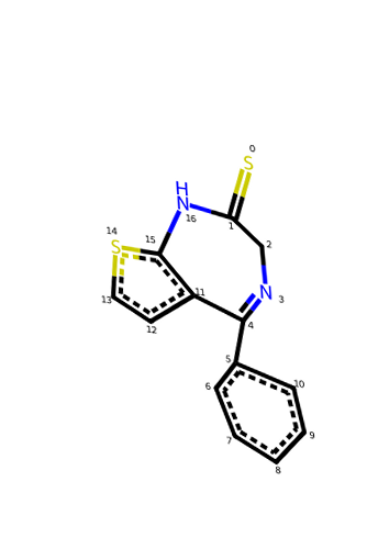 S=C1CN=C(c2ccccc2)c2ccsc2N1